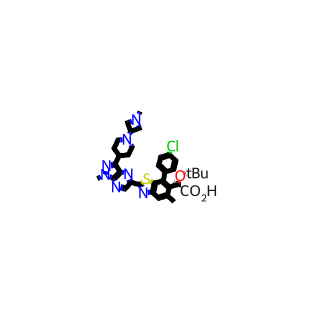 Cc1cc2nc(-c3cnc4c(n3)c(C3CCN(C5CN(C)C5)CC3)nn4C)sc2c(-c2ccc(Cl)cc2)c1[C@H](OC(C)(C)C)C(=O)O